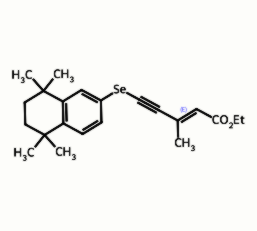 CCOC(=O)/C=C(\C)C#C[Se]c1ccc2c(c1)C(C)(C)CCC2(C)C